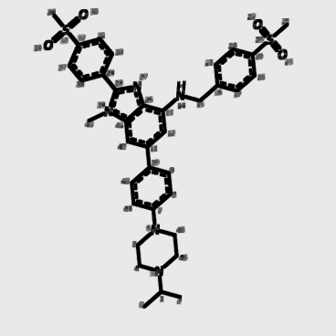 CC(C)N1CCN(c2ccc(-c3cc(NCc4ccc(S(C)(=O)=O)cc4)c4nc(-c5ccc(S(C)(=O)=O)cc5)n(C)c4c3)cc2)CC1